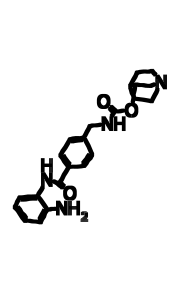 Nc1ccccc1NC(=O)c1ccc(CNC(=O)OC2CN3CCC2CC3)cc1